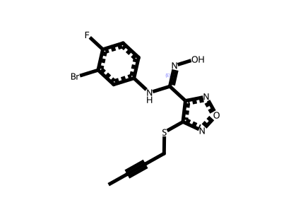 CC#CCSc1nonc1/C(=N\O)Nc1ccc(F)c(Br)c1